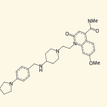 CNC(=O)c1cc(=O)n(CCN2CCC(NCc3ccc(N4CCCC4)cc3)CC2)c2cc(OC)ccc12